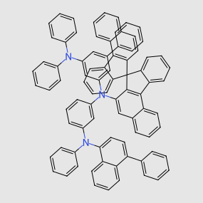 c1ccc(-c2cc(N(c3ccccc3)c3ccccc3)cc(N(c3cccc(N(c4ccccc4)c4ccc(-c5ccccc5)c5ccccc45)c3)c3cc4ccccc4c4c3C3(c5ccccc5-c5c3ccc3ccccc53)c3ccccc3-4)c2)cc1